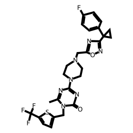 Cc1nc(N2CCN(Cc3nc(C4(c5ccc(F)cc5)CC4)no3)CC2)nc(=O)n1Cc1ccc(C(F)(F)F)s1